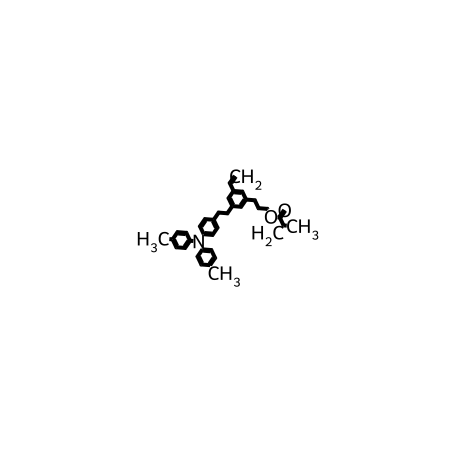 C=Cc1cc(CCCOC(=O)C(=C)C)cc(CCc2ccc(N(c3ccc(C)cc3)c3ccc(C)cc3)cc2)c1